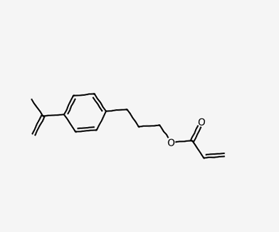 C=CC(=O)OCCCc1ccc(C(=C)C)cc1